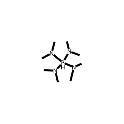 CN(C)[PH](N(C)C)(N(C)C)N(C)C